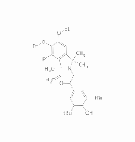 C=CC1(C)c2c(cc(OCC)c(OCC)c2F)C(C)(C)N1CC(=O)c1cc(C(C)(C)C)c(O)c(C(C)(C)C)c1